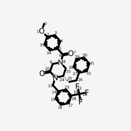 COc1ccc(C(=O)N2CC(=O)N(Cc3cccc(C(F)(F)F)c3)[C@@H](CCc3ccccc3)C2)cc1